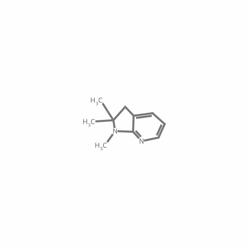 CN1c2ncccc2CC1(C)C